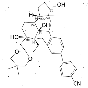 CC1(C)COC2(CC[C@@]34Cc5cc(-c6ccc(C#N)cc6)ccc5C5C[C@]6(C)[C@@H](O)CC[C@H]6[C@H](CC[C@@]3(O)C2)[C@]54O)OC1